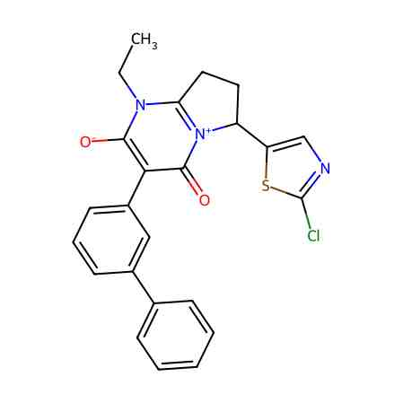 CCn1c([O-])c(-c2cccc(-c3ccccc3)c2)c(=O)[n+]2c1CCC2c1cnc(Cl)s1